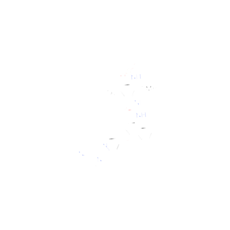 COc1c(NC(=O)Nc2ccc(Oc3ccnc(CN4CC[C@@H](N(C)C)C4)c3)c3ccccc23)cc(C(C)(C)C)cc1NS(C)(=O)=O